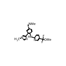 CNSc1ccc(Nc2ccc(C(F)(F)OC)cn2)c(-c2cn(C)cn2)c1